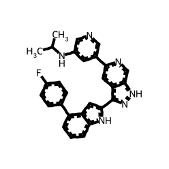 CC(C)Nc1cncc(-c2cc3c(-c4cc5c(-c6ccc(F)cc6)cccc5[nH]4)n[nH]c3cn2)c1